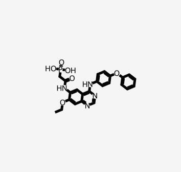 CCOc1cc2ncnc(Nc3ccc(Oc4ccccc4)cc3)c2cc1NC(=O)CP(=O)(O)O